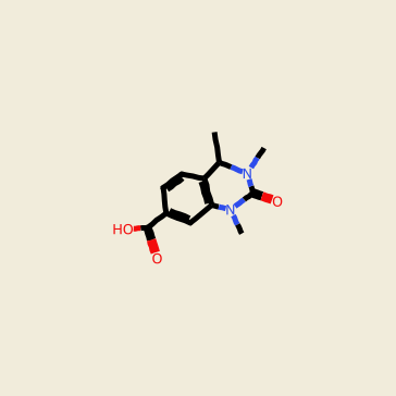 CC1c2ccc(C(=O)O)cc2N(C)C(=O)N1C